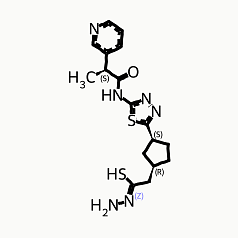 C[C@H](C(=O)Nc1nnc([C@H]2CC[C@@H](C/C(S)=N/N)C2)s1)c1cccnc1